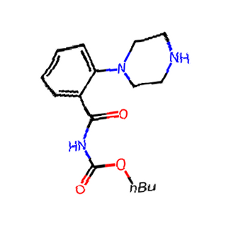 CCCCOC(=O)NC(=O)c1ccccc1N1CCNCC1